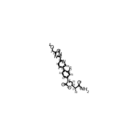 COCc1nc(-c2ccc(-c3ccc(N4CC([C@H](C)C(N)=O)OC4=O)cc3F)cn2)no1